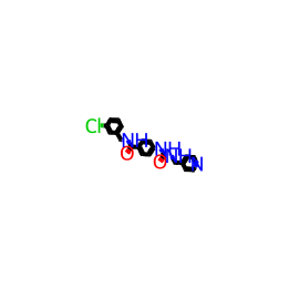 O=C(NCc1ccncc1)Nc1ccc(C(=O)NCc2cccc(Cl)c2)cc1